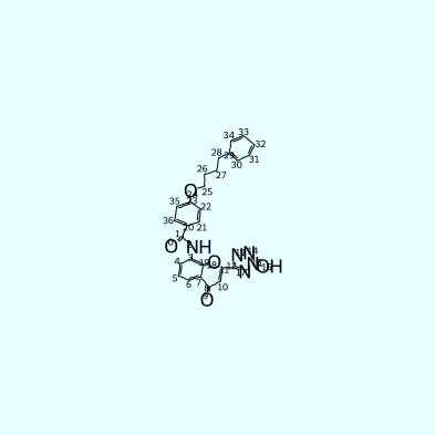 O=C(Nc1cccc2c(=O)cc(-c3nnn(O)n3)oc12)c1ccc(OCCCCc2ccccc2)cc1